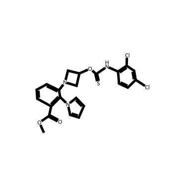 COC(=O)c1cccc(N2CC(OC(=S)Nc3ccc(Cl)cc3Cl)C2)c1-n1cccc1